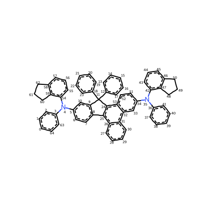 c1ccc(N(c2ccc3c(c2)C(c2ccccc2)(c2ccccc2)c2c-3c3ccccc3c3cc(N(c4ccccc4)c4cccc5c4CCC5)ccc23)c2cccc3c2CCC3)cc1